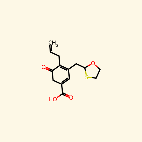 C=CCC1=C(CC2OCCS2)C=C(C(=O)O)CC1=O